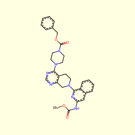 CC(C)(C)OC(=O)Nc1cc2ccccc2c(N2CCc3c(ncnc3N3CCN(C(=O)OCc4ccccc4)CC3)C2)n1